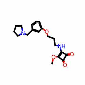 COc1c(NCCCOc2cccc(CN3CCCC3)c2)c(=O)c1=O